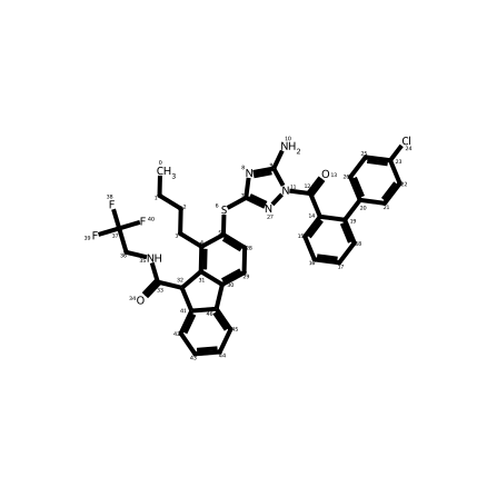 CCCCc1c(Sc2nc(N)n(C(=O)c3ccccc3-c3ccc(Cl)cc3)n2)ccc2c1C(C(=O)NCC(F)(F)F)c1ccccc1-2